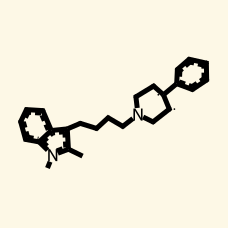 Cc1c(CCCCN2C[CH][C](c3ccccc3)CC2)c2ccccc2n1C